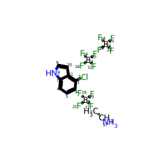 CC.Clc1cccc2[nH]ccc12.F[B-](F)(F)F.F[B-](F)(F)F.F[B-](F)(F)F.N